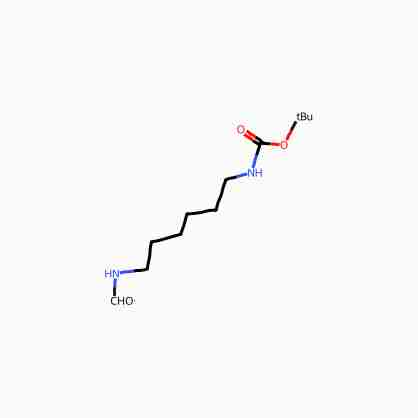 CC(C)(C)OC(=O)NCCCCCCN[C]=O